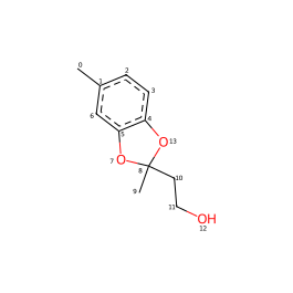 Cc1ccc2c(c1)OC(C)(CCO)O2